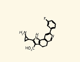 NC1CC1c1[nH]c2c(c1C(=O)O)CCc1cnc(-c3cccc(F)c3)cc1-2